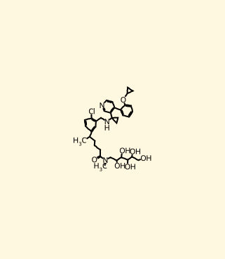 CC(CCCC(=O)N(C)CC(O)C(O)C(O)C(O)CO)c1ccc(Cl)c(CNC2(c3cnccc3-c3ccccc3OC3CC3)CC2)c1